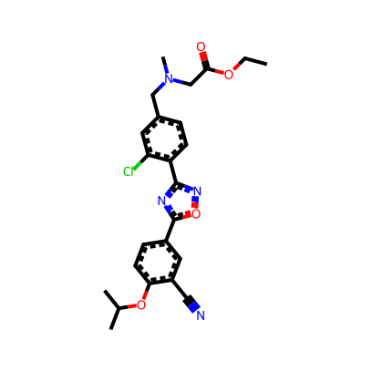 CCOC(=O)CN(C)Cc1ccc(-c2noc(-c3ccc(OC(C)C)c(C#N)c3)n2)c(Cl)c1